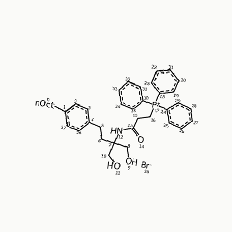 CCCCCCCCc1ccc(CCC(CO)(CO)NC(=O)CC[P+](c2ccccc2)(c2ccccc2)c2ccccc2)cc1.[Br-]